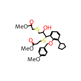 COC(=O)CCSC(c1cccc(C2CCCC2)c1OCc1ccc(OC)cc1)C(O)CSCC(=O)OC